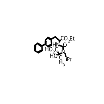 CCOC(=O)C(Cc1ccc(-c2ccccc2)cc1)NC(=O)N(CC(C)C)C(C)(O)C(=O)O